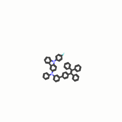 Fc1ccc(-n2c3ccccc3c3cc(N(c4ccccc4)c4cccc(-c5ccc(C(=C(c6ccccc6)c6ccccc6)c6ccccc6)cc5)c4)ccc32)cc1